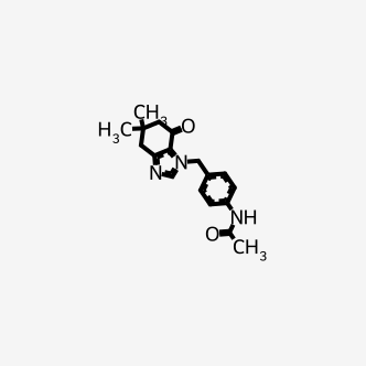 CC(=O)Nc1ccc(Cn2cnc3c2C(=O)CC(C)(C)C3)cc1